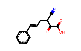 N#CC(CC=Cc1ccccc1)C(=O)C(=O)O